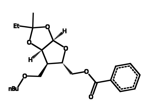 CCCCOC[C@H]1[C@H]2OC(C)(CC)O[C@H]2O[C@@H]1COC(=O)c1ccccc1